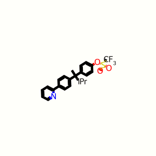 CC(C)C(C)(c1ccc(OS(=O)(=O)C(F)(F)F)cc1)c1ccc(-c2ccccn2)cc1